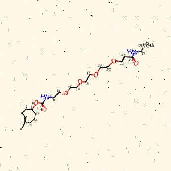 C/C1=C\CCC(OC(=O)NCCOCCOCCOCCOCCC(=O)NCC(C)(C)C)CCC1